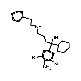 Nc1c(Br)cc(C(O)(CCCNCCc2ccccc2)C2CCCCC2)cc1Br